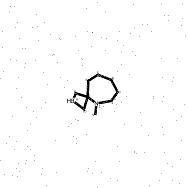 CN1CCCCCC12CBC2